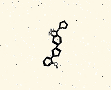 COc1ccccc1C1=CC(c2ccc3c(c2)N=NC3C2CCCC2)=CC1